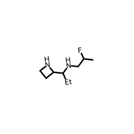 CCC(NCC(C)F)C1CCN1